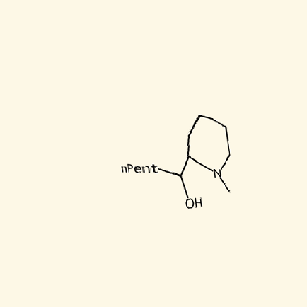 CCCCCC(O)C1CCCCN1C